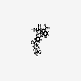 COC(=O)N1CCN(C(=O)c2cccc(CN3C(=N)N[C@](CCC(C)C)(c4ccccc4)C3=O)c2)CC1